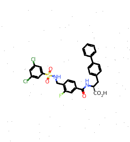 O=C(N[C@@H](Cc1ccc(-c2ccccc2)cc1)C(=O)O)c1ccc(CNS(=O)(=O)c2cc(Cl)cc(Cl)c2)c(F)c1